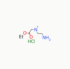 CCOC(=O)CN(C)CCN.Cl